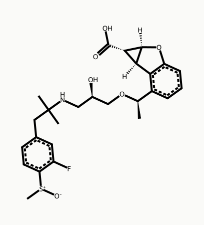 C[C@@H](OC[C@H](O)CNC(C)(C)Cc1ccc([S+](C)[O-])c(F)c1)c1cccc2c1[C@@H]1[C@H](O2)[C@H]1C(=O)O